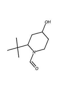 CC(C)(C)C1CC(O)CCN1C=O